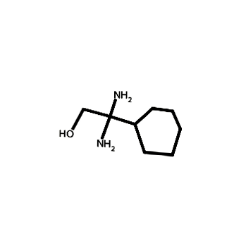 NC(N)(CO)C1CCCCC1